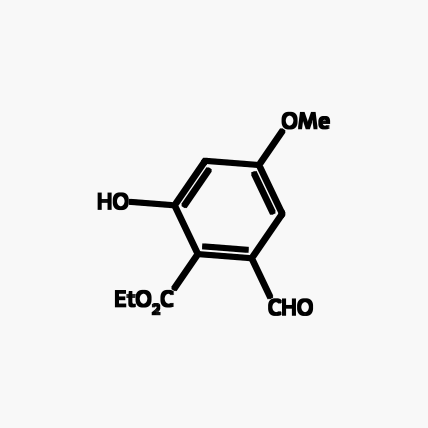 CCOC(=O)c1c(O)cc(OC)cc1C=O